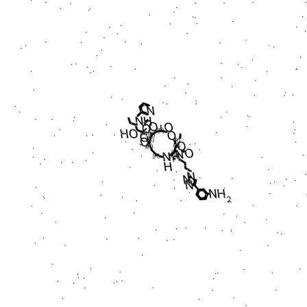 CCO[C@@H](O[C@@H]1[C@@H](C)C(=O)[C@@H](C)C(=O)O[C@H](CC)[C@@]2(C)OC(=O)N(CCCCn3cc(-c4cccc(N)c4)nn3)[C@@H]2[C@@H](C)NC[C@H](C)C[C@@]1(C)OC)C(O)C(CC)NCc1cccnc1